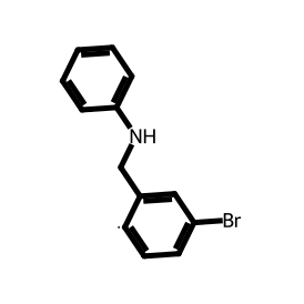 Brc1cc[c]c(CNc2ccccc2)c1